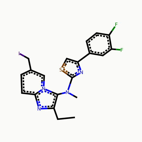 CCc1nc2ccc(CI)cn2c1N(C)c1nc(-c2ccc(F)c(F)c2)cs1